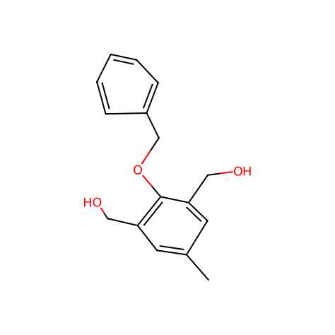 Cc1cc(CO)c(OCc2ccccc2)c(CO)c1